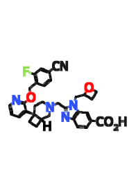 N#Cc1ccc(COc2ncccc2[C@]23CC[C@H]2CN(Cc2nc4ccc(C(=O)O)cc4n2CC2CCO2)CC3)c(F)c1